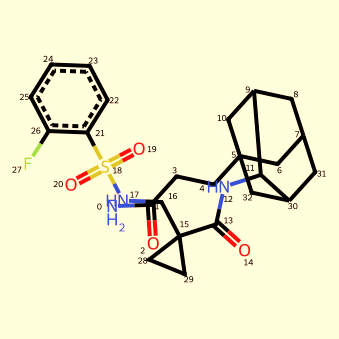 NC(=O)CCC12CC3CC(C1)C(NC(=O)C1(CNS(=O)(=O)c4ccccc4F)CC1)C(C3)C2